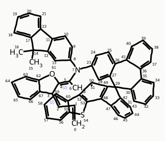 C=C/C=c1\c(=C(/C)N(c2ccc3c(c2)C(C)(C)c2ccccc2-3)c2ccc3c(c2)C2(c4ccccc4-c4ccccc4-3)c3ccccc3-c3c2ccc2c3sc3ccccc32)oc2ccccc12